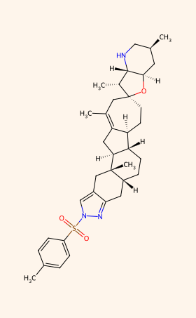 CC1=C2C[C@H]3[C@@H](CC[C@@H]4Cc5nn(S(=O)(=O)c6ccc(C)cc6)cc5C[C@@]43C)[C@@H]2CC[C@@]2(C1)O[C@@H]1C[C@H](C)CN[C@H]1[C@H]2C